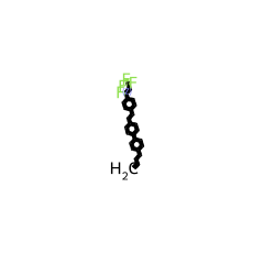 C=CCCC1CCC(C2CCC(CCC3CCC(/C(F)=C/C(F)(F)F)CC3)CC2)CC1